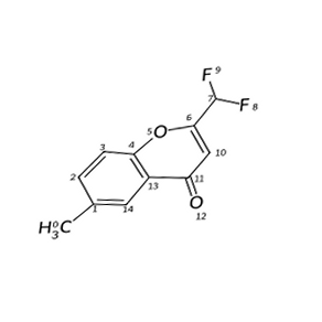 Cc1ccc2oc(C(F)F)cc(=O)c2c1